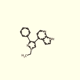 CCn1cc(-c2ccnc3[nH]ccc23)c(-c2ccccc2)n1